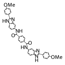 COc1ccc(-c2nc3cc(NC(=O)c4ccc(C(=O)Nc5ccc6[nH]c(-c7ccc(OC)cc7)nc6c5)cc4)ccc3[nH]2)cc1